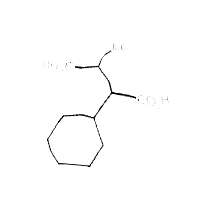 CCC(C(=O)O)C(C(=O)O)C1CCCCC1